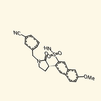 COc1ccc2cc([C@@H]3CCN(Cc4cccc(C#N)c4)C3=O)c(S([NH])(=O)=O)cc2c1